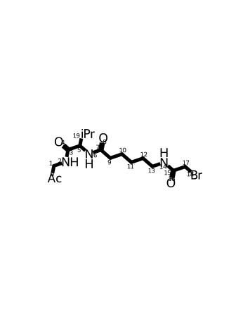 CC(=O)CNC(=O)C(NC(=O)CCCCCNC(=O)CBr)C(C)C